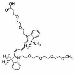 COCCOCCOCCOCC[N+]1=C(\C=C/C=C\C=C2\N(CCOCCOCCC(=O)O)c3ccccc3C2(C)C)C(C)(C)c2ccccc21